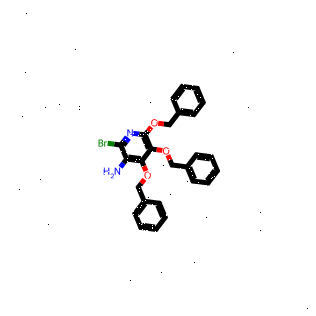 Nc1c(Br)nc(OCc2ccccc2)c(OCc2ccccc2)c1OCc1ccccc1